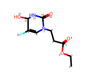 CCOC(=O)CCN1C=C(F)C(O)NC1=O